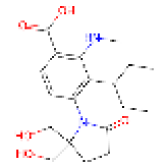 CCC(CC)c1c(N2C(=O)CCC2(CO)CO)ccc(C(=O)O)c1NC